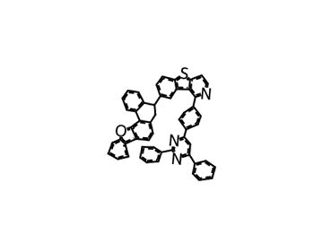 c1ccc(-c2cc(-c3ccc(-c4nccc5sc6ccc(C7Cc8ccc9c(oc%10ccccc%109)c8-c8ccccc87)cc6c45)cc3)nc(-c3ccccc3)n2)cc1